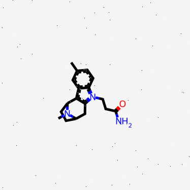 Cc1ccc2c(c1)c1c(n2CCC(N)=O)CC2CCC1N2C